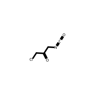 O=C=NCC(=O)CCl